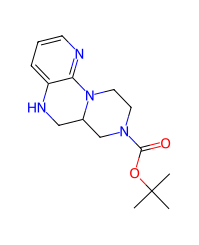 CC(C)(C)OC(=O)N1CCN2c3ncccc3NCC2C1